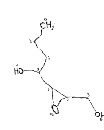 [CH2]CCC(O)C1OC1CO